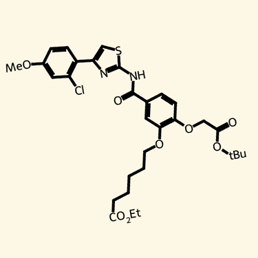 CCOC(=O)CCCCCOc1cc(C(=O)Nc2nc(-c3ccc(OC)cc3Cl)cs2)ccc1OCC(=O)OC(C)(C)C